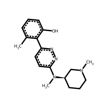 Cc1cccc(O)c1-c1ccc(N(C)[C@@H]2CCCN(C)C2)nn1